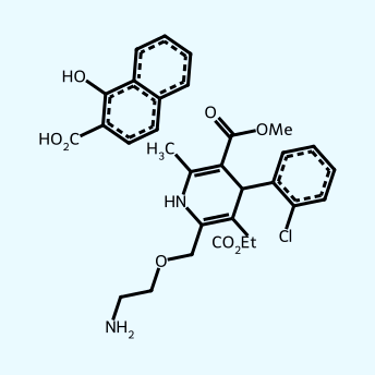 CCOC(=O)C1=C(COCCN)NC(C)=C(C(=O)OC)C1c1ccccc1Cl.O=C(O)c1ccc2ccccc2c1O